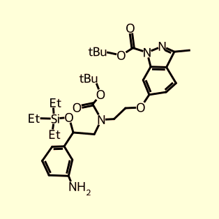 CC[Si](CC)(CC)OC(CN(CCOc1ccc2c(C)nn(C(=O)OC(C)(C)C)c2c1)C(=O)OC(C)(C)C)c1cccc(N)c1